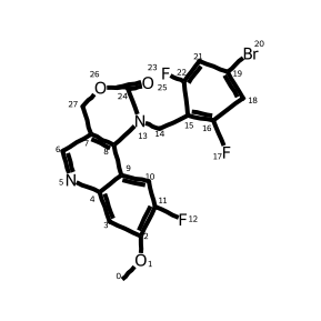 COc1cc2ncc3c(c2cc1F)N(Cc1c(F)cc(Br)cc1F)C(=O)OC3